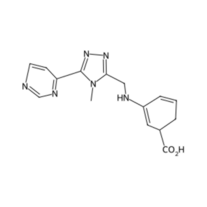 Cn1c(CNC2=CC(C(=O)O)CC=C2)nnc1-c1ccncn1